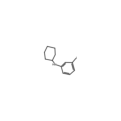 Ic1cc[c]c(NC2CCCCC2)c1